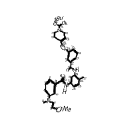 COCCN(C)c1cccc(C(=O)Nc2ccc(C)c(NC(=O)c3cccc(OC4CCN(C(=O)OC(C)(C)C)CC4)c3)c2)c1